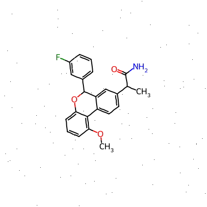 COc1cccc2c1-c1ccc(C(C)C(N)=O)cc1C(c1cccc(F)c1)O2